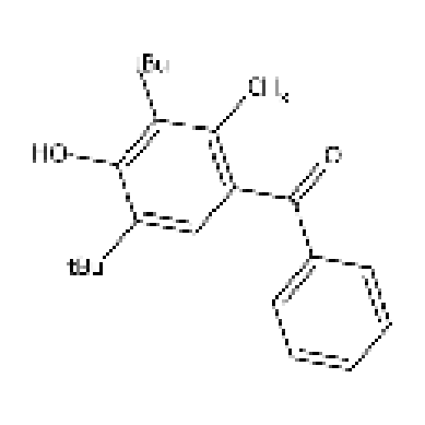 Cc1c(C(=O)c2ccccc2)cc(C(C)(C)C)c(O)c1C(C)(C)C